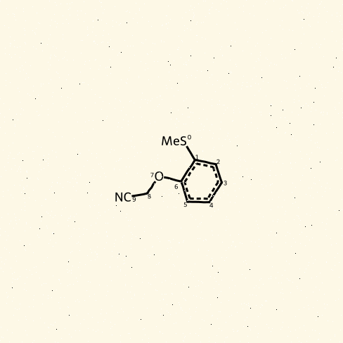 CSc1ccccc1OCC#N